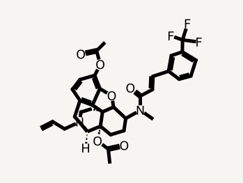 C=CCN1CC[C@]23c4c5ccc(OC(C)=O)c4OC2C(N(C)C(=O)/C=C/c2cccc(C(F)(F)F)c2)CC[C@@]3(OC(C)=O)[C@H]1C5